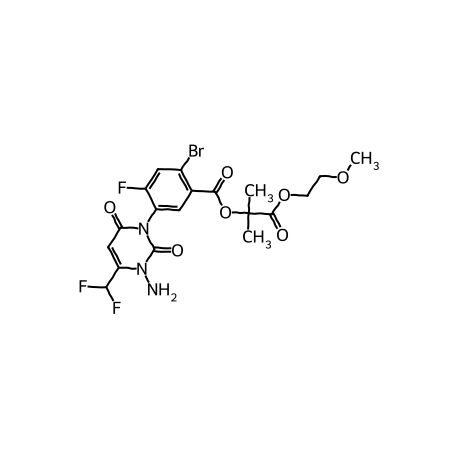 COCCOC(=O)C(C)(C)OC(=O)c1cc(-n2c(=O)cc(C(F)F)n(N)c2=O)c(F)cc1Br